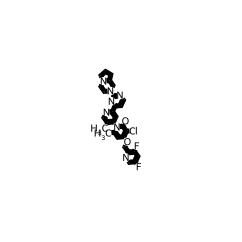 Cc1cnc(-c2ccnc(N3CCN4CCCC4C3)n2)cc1-n1c(C)cc(OCc2ncc(F)cc2F)c(Cl)c1=O